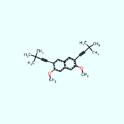 COc1cc2cc(OC)c(C#CC(C)(C)C)cc2cc1C#CC(C)(C)C